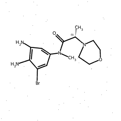 C[C@@H](C(=O)N(C)c1cc(N)c(N)c(Br)c1)N1CCOCC1